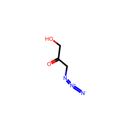 [N-]=[N+]=NCC(=O)CO